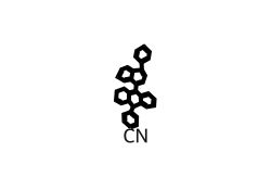 N#Cc1ccc(C2c3ccccc3C(c3ccc(-c4ccccc4)c4ccccc34)=C3CCC=CC32)cc1